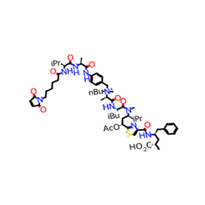 CCCC[N+](C)(Cc1ccc(NC(=O)[C@H](C)NC(=O)[C@@H](NC(=O)CCCCCN2C(=O)C=CC2=O)C(C)C)cc1)[C@H](C)C(=O)N[C@H](C(=O)N(C)[C@H](C[C@@H](OC(C)=O)c1nc(C(=O)N[C@@H](Cc2ccccc2)C[C@H](C)C(=O)O)cs1)C(C)C)[C@@H](C)CC